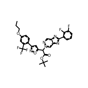 CCCOc1ccc(-c2cc(C(C(=O)OC(C)(C)C)n3cc4nc(-c5cccc(F)c5F)nc-4cn3)on2)c(C(F)(F)F)c1